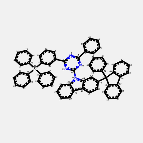 c1ccc(-c2nc(-c3cccc([Si](c4ccccc4)(c4ccccc4)c4ccccc4)c3)nc(-n3c4ccccc4c4ccc(C5(c6ccccc6)c6ccccc6-c6ccccc65)cc43)n2)cc1